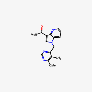 CNC(=O)c1cn(Cc2ncnc(OC)c2C)c2cccnc12